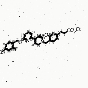 CCOC(=O)CCc1ccc(CN2C=CC(c3cccc(OCc4ccc(Cl)cc4F)n3)=CC2)c(OC)n1